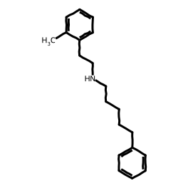 Cc1ccccc1CCNCCCCCc1ccccc1